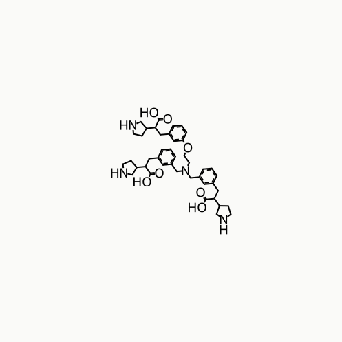 O=C(O)C(Cc1cccc(CN(CCOc2cccc(CC(C(=O)O)C3CCNC3)c2)Cc2cccc(CC(C(=O)O)C3CCNC3)c2)c1)C1CCNC1